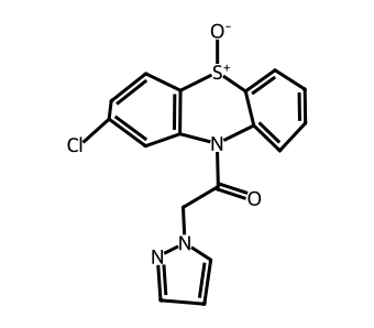 O=C(Cn1cccn1)N1c2ccccc2[S+]([O-])c2ccc(Cl)cc21